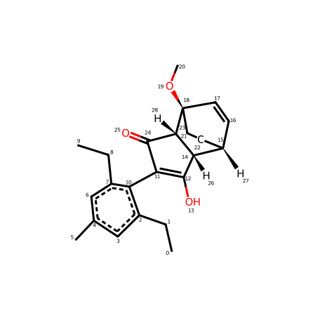 CCc1cc(C)cc(CC)c1C1=C(O)[C@H]2[C@H]3C=C[C@](OC)(CC3)[C@H]2C1=O